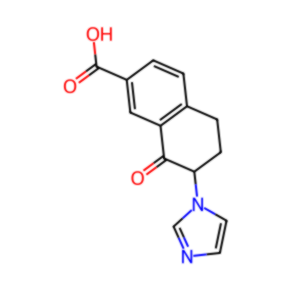 O=C(O)c1ccc2c(c1)C(=O)C(n1ccnc1)CC2